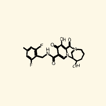 Cc1cc(F)c(CNC(=O)c2cn3c(c(O)c2=O)C(=O)N2CCCC(O)C3C2)c(F)c1